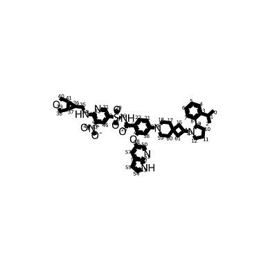 CC(C)c1ccccc1[C@H]1CCCN1C1CC2(CCN(c3ccc(C(=O)NS(=O)(=O)c4cnc(NCC5C6COCC56)c([N+](=O)[O-])c4)c(Oc4cnc5[nH]ccc5c4)c3)CC2)C1